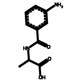 CC(NC(=O)c1cccc(N)c1)C(=O)O